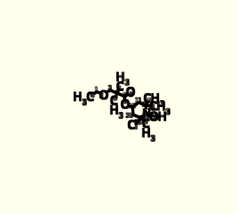 CCOCC(C)(C)C(=O)OC1CC(C)(C)N(O)C(C)(Cl)C1